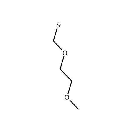 COCCOC[S]